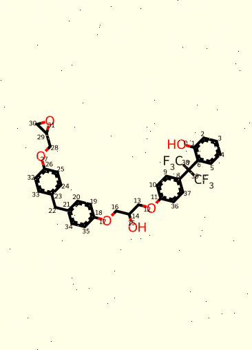 Oc1ccccc1C(c1ccc(OCC(O)COc2ccc(Cc3ccc(OCC4CO4)cc3)cc2)cc1)(C(F)(F)F)C(F)(F)F